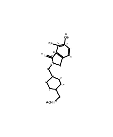 CC(=O)NCC1CCC(CN2Cc3ccc(O)c(F)c3C2=O)CC1